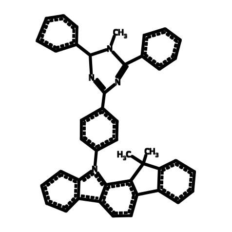 CN1C(c2ccccc2)=NC(c2ccc(-n3c4ccccc4c4ccc5c(c43)C(C)(C)c3ccccc3-5)cc2)=NC1c1ccccc1